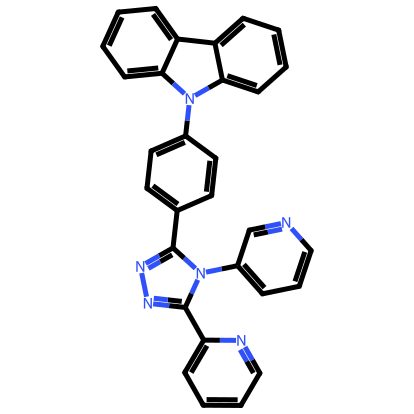 c1ccc(-c2nnc(-c3ccc(-n4c5ccccc5c5ccccc54)cc3)n2-c2cccnc2)nc1